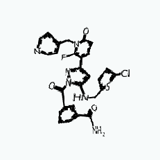 NC(=O)c1cccc(C(=O)n2nc(-c3ccc(=O)n(Cc4ccncc4)c3F)cc2NCc2ccc(Cl)s2)c1